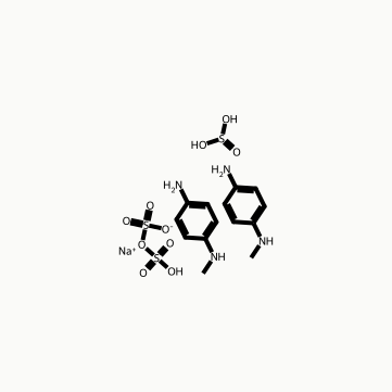 CNc1ccc(N)cc1.CNc1ccc(N)cc1.O=S(=O)([O-])OS(=O)(=O)O.O=S(O)O.[Na+]